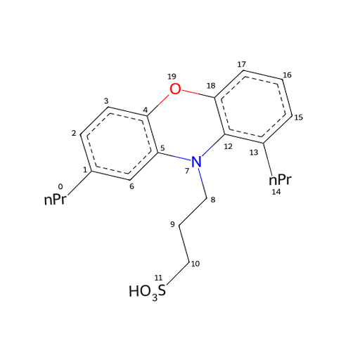 CCCc1ccc2c(c1)N(CCCS(=O)(=O)O)c1c(CCC)cccc1O2